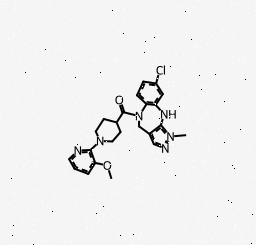 COc1cccnc1N1CCC(C(=O)N2Cc3cnn(C)c3Nc3cc(Cl)ccc32)CC1